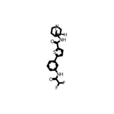 O=C(N[C@H]1CN2CCC1CC2)c1ccc(-c2cccc(NC(=O)C(F)F)c2)s1